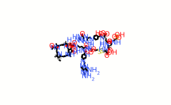 CC[C@H]1c2cc3[nH]c4c(c3C)C(=O)C(C(=O)OC)c4c3nc(cc4[nH]c(cc(n2)[C@@H]1C)c(C(C)=O)c4C)[C@@H](C)[C@@H]3CCC(=O)NCCCC(NC(=O)c1ccc(N(C)Cc2ncc3nc(N)nc(N)c3n2)cc1)C(=O)NNC(=O)OCCSSC[C@H](NC(=O)[C@H](CC(=O)NCCS(=O)(=O)O)NC(=O)CC[C@H](NC(=O)c1ccc(NCc2cnc3nc(N)[nH]c(=O)c3n2)cc1)C(=O)O)C(=O)O